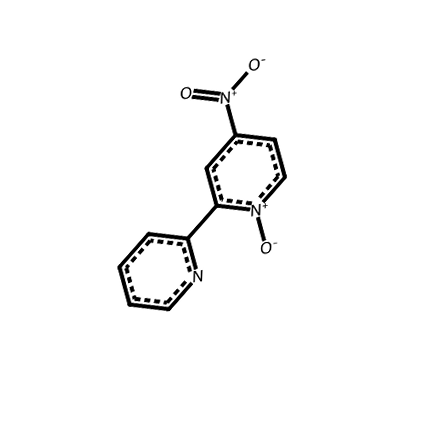 O=[N+]([O-])c1cc[n+]([O-])c(-c2ccccn2)c1